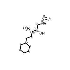 N[C@@H](CCC1CCCCC1)[C@@H](O)CNC(=O)O